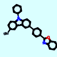 CC(C)(C)c1ccc2c(c1)c1cc(-c3ccc(-c4nc5ccccc5o4)cc3)ccc1n2-c1ccccc1